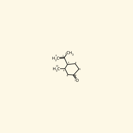 C=C(C)C1CCC(=O)CC1C